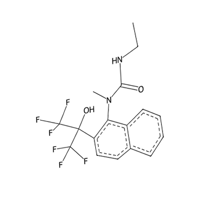 CCNC(=O)N(C)c1c(C(O)(C(F)(F)F)C(F)(F)F)ccc2ccccc12